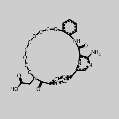 Nc1ncc2nc1C(=O)Nc1ccccc1OCCOCCOCCN(CC(=O)O)C(=O)c1ccc-2cc1